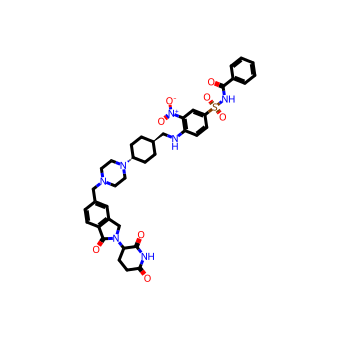 O=C1CCC(N2Cc3cc(CN4CCN([C@H]5CC[C@H](CNc6ccc(S(=O)(=O)NC(=O)c7ccccc7)cc6[N+](=O)[O-])CC5)CC4)ccc3C2=O)C(=O)N1